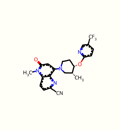 C[C@@H]1CN(c2cc(=O)n(C)c3ccc(C#N)nc23)CC[C@@H]1Oc1ccc(C(F)(F)F)cn1